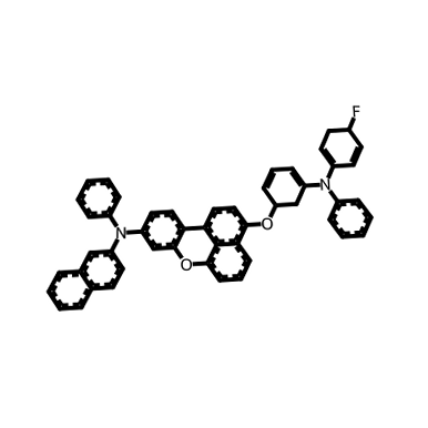 FC1C=CC(N(C2=CC=CC(Oc3ccc4c5c(cccc35)Oc3cc(N(c5ccccc5)c5ccc6ccccc6c5)ccc3-4)C2)c2ccccc2)=CC1